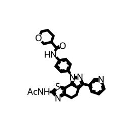 CC(=O)Nc1nc2c(s1)-c1c(c(-c3cccnc3)nn1-c1ccc(NC(=O)C3CCCOC3)cc1)CC2